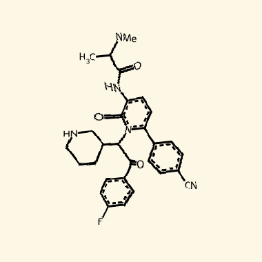 CNC(C)C(=O)Nc1ccc(-c2ccc(C#N)cc2)n(C(C(=O)c2ccc(F)cc2)C2CCCNC2)c1=O